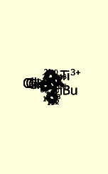 CCCCC(c1ccccc1)(c1ccccc1)C1C(C)=[C]([Ti+3])c2ccccc21.[Cl-].[Cl-].[Cl-]